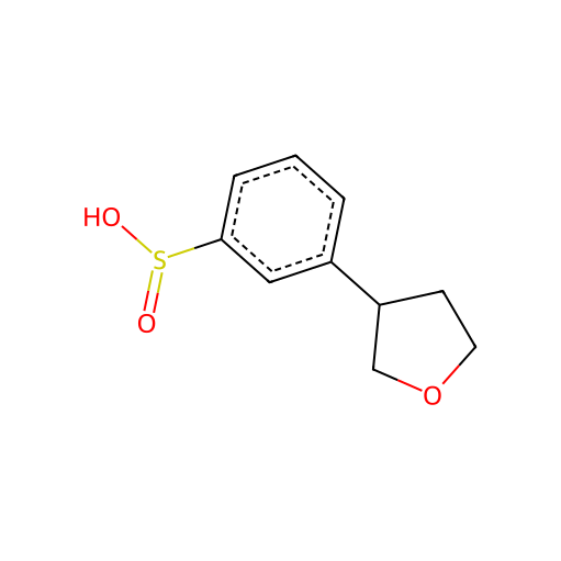 O=S(O)c1cccc(C2CCOC2)c1